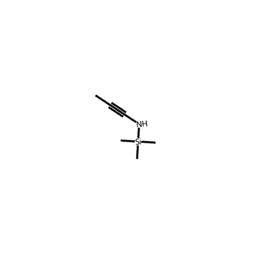 CC#CN[Si](C)(C)C